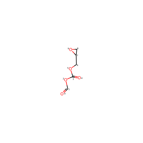 O=COC(=O)OCC1CO1